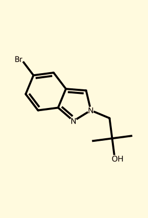 CC(C)(O)Cn1cc2cc(Br)ccc2n1